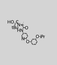 CC(C)Oc1cccc(Oc2ccc(NC(=O)[C@@H](C)N(C(=O)O)C(C)(C)C)cn2)c1